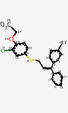 CCc1ccc(/C(=C\CSc2ccc(OCC(=O)O)c(Cl)c2)c2ccccc2)cc1